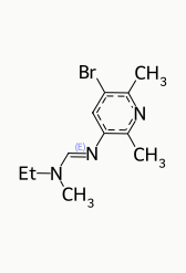 CCN(C)/C=N/c1cc(Br)c(C)nc1C